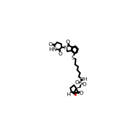 CC1(C)[C@H]2CC[C@]1(CS(=O)(=O)NCCCCCCSc1cccc3c1CN(C1CCC(=O)NC1=O)C3=O)C(=O)C2